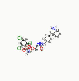 CN(C)c1ccccc1CC1CCC(CNC(=O)CCOCN(C)S(=O)(=O)c2c(Cl)cc(Cl)cc2Cl)CC1